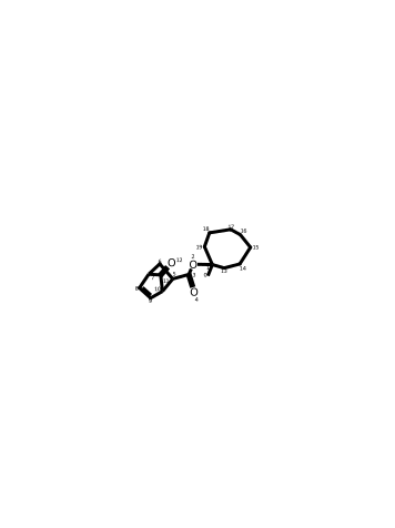 CC1(OC(=O)C2CC3C=CC2C3=O)CCCCCCC1